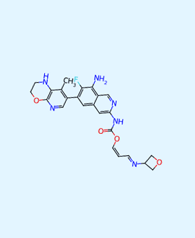 Cc1c(-c2cc3cc(NC(=O)O/C=C\C=N\C4COC4)ncc3c(N)c2F)cnc2c1NCCO2